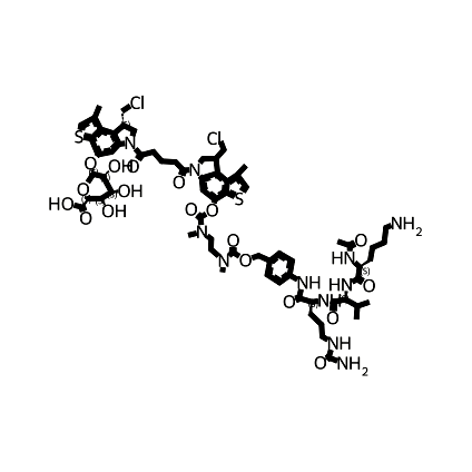 CC(=O)N[C@@H](CCCCN)C(=O)N[C@H](C(=O)N[C@@H](CCCNC(N)=O)C(=O)Nc1ccc(COC(=O)N(C)CCN(C)C(=O)Oc2cc3c(c4c(C)csc24)C(CCl)CN3C(=O)CCCC(=O)N2C[C@@H](CCl)c3c2cc(O[C@@H]2O[C@H](C(=O)O)[C@@H](O)[C@H](O)[C@H]2O)c2scc(C)c32)cc1)C(C)C